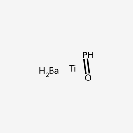 O=P.[BaH2].[Ti]